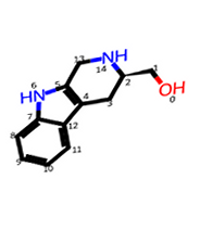 OC[C@H]1Cc2c([nH]c3ccccc23)CN1